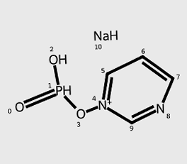 O=[PH](O)O[n+]1cccnc1.[NaH]